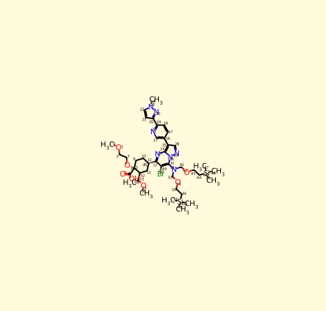 COCCO[C@]1(C(=O)O)CC[C@@H](c2nc3c(-c4ccc(-c5ccn(C)n5)nc4)cnn3c(N(COCC[Si](C)(C)C)COCC[Si](C)(C)C)c2Br)CC1C(C)OC